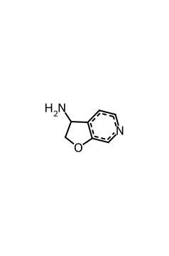 NC1COc2cnccc21